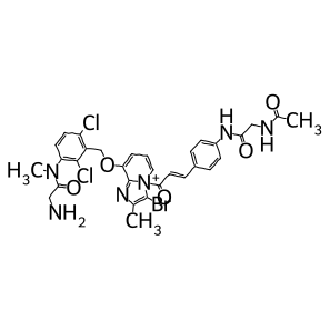 CC(=O)NCC(=O)Nc1ccc(C=CC(=O)[N+]23C=CC=C(OCc4c(Cl)ccc(N(C)C(=O)CN)c4Cl)C2=NC(C)=C3Br)cc1